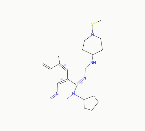 C=C\C(C)=C/C(=C/N=C)C(=N\CNC1CCN(SC)CC1)/N(C)C1CCCC1